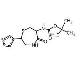 CC(C)(C)OC(=O)NC1CSC(c2ccsc2)CNC1=O